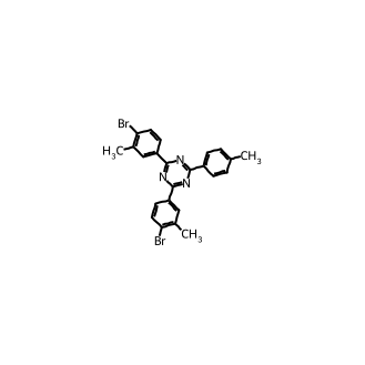 Cc1ccc(-c2nc(-c3ccc(Br)c(C)c3)nc(-c3ccc(Br)c(C)c3)n2)cc1